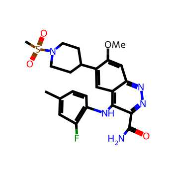 COc1cc2nnc(C(N)=O)c(Nc3ccc(C)cc3F)c2cc1C1CCN(S(C)(=O)=O)CC1